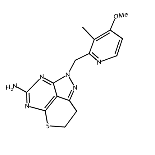 COc1ccnc(Cn2nc3c4c(nc(N)nc42)SCC3)c1C